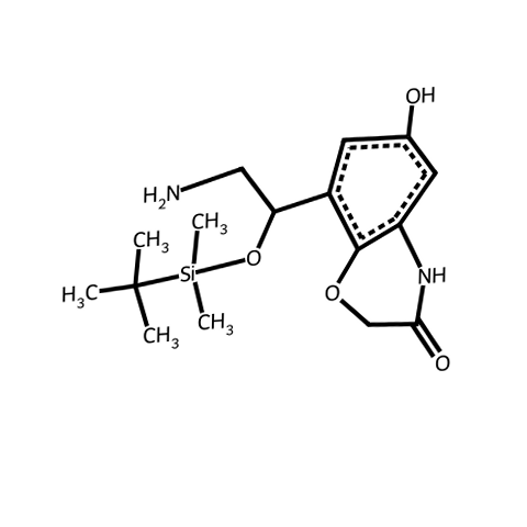 CC(C)(C)[Si](C)(C)OC(CN)c1cc(O)cc2c1OCC(=O)N2